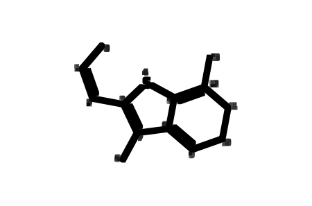 C/C=C\c1sc2c(c1C)=CCCC=2C